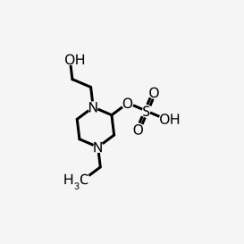 CCN1CCN(CCO)C(OS(=O)(=O)O)C1